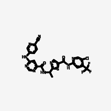 CC(NC(=O)c1cc(Nc2ccc(C#N)nc2)ncn1)c1ncc(C(=O)Nc2cc(C(F)(F)F)c(Cl)cn2)s1